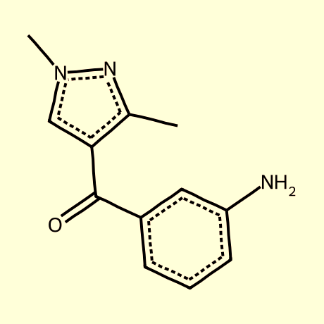 Cc1nn(C)cc1C(=O)c1cccc(N)c1